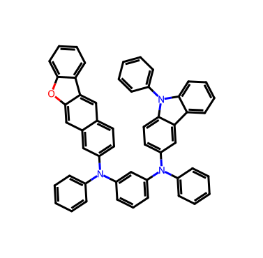 c1ccc(N(c2cccc(N(c3ccccc3)c3ccc4c(c3)c3ccccc3n4-c3ccccc3)c2)c2ccc3cc4c(cc3c2)oc2ccccc24)cc1